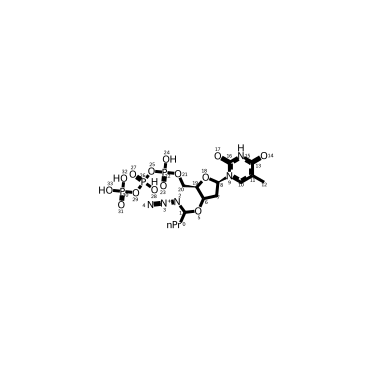 CCCC(N=[N+]=[N-])OC1C[C@H](n2cc(C)c(=O)[nH]c2=O)O[C@@H]1COP(=O)(O)OP(=O)(O)OP(=O)(O)O